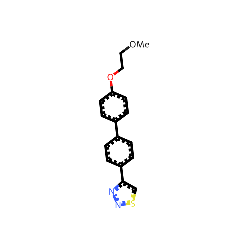 COCCOc1ccc(-c2ccc(-c3csnn3)cc2)cc1